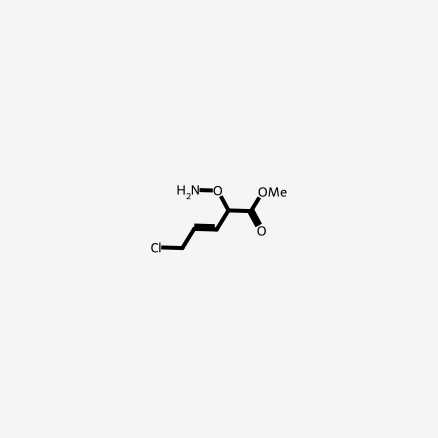 COC(=O)C(C=CCCl)ON